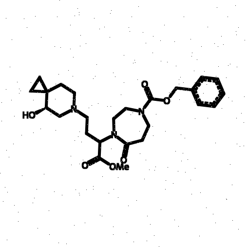 COC(=O)C(CCN1CCC2(CC2)[C@H](O)C1)N1CCN(C(=O)OCc2ccccc2)CCC1=O